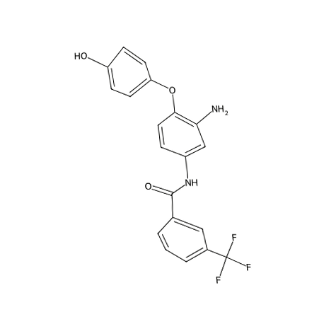 Nc1cc(NC(=O)c2cccc(C(F)(F)F)c2)ccc1Oc1ccc(O)cc1